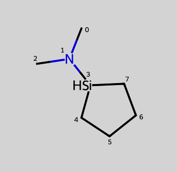 CN(C)[SiH]1CCCC1